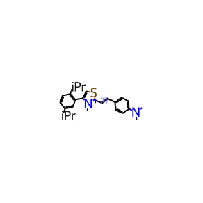 CC(C)c1ccc(C(C)C)c(-c2csc(/C=C/c3ccc(N(C)C)cc3)[n+]2C)c1